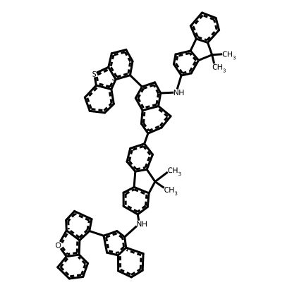 CC1(C)c2ccccc2-c2ccc(Nc3cc(-c4cccc5sc6ccccc6c45)cc4cc(-c5ccc6c(c5)C(C)(C)c5cc(Nc7cc(-c8cccc9oc%10ccccc%10c89)cc8ccccc78)ccc5-6)ccc34)cc21